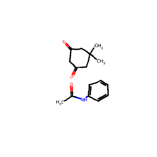 CC(=O)Nc1ccccc1.CC1(C)CC(=O)CC(=O)C1